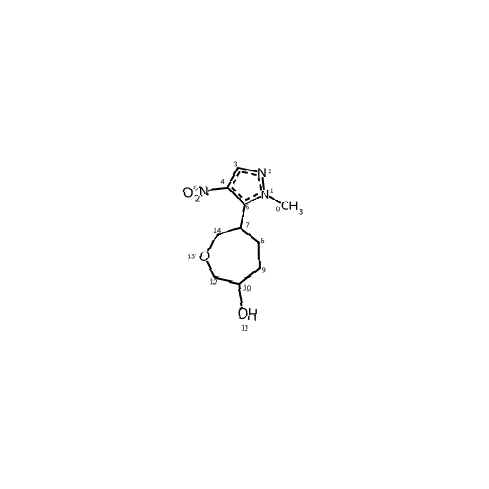 Cn1ncc([N+](=O)[O-])c1C1CCC(O)COC1